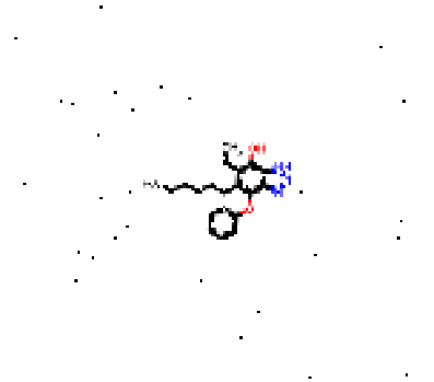 CCCCCCc1c(CC)c(O)c2[nH]nnc2c1Oc1ccccc1